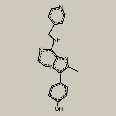 Cc1nc2c(NCc3ccncc3)nccn2c1-c1ccc(O)cc1